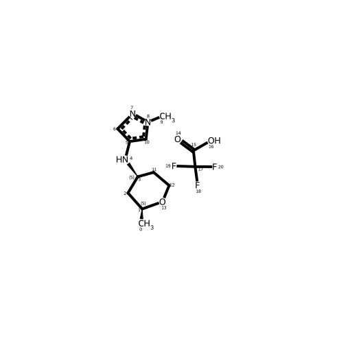 C[C@H]1C[C@@H](Nc2cnn(C)c2)CCO1.O=C(O)C(F)(F)F